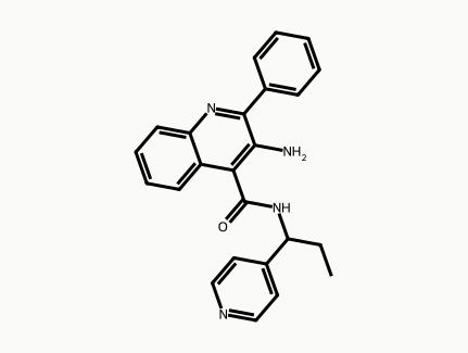 CCC(NC(=O)c1c(N)c(-c2ccccc2)nc2ccccc12)c1ccncc1